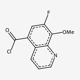 COc1c(F)cc(C(=O)Cl)c2cccnc12